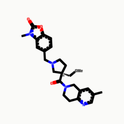 COC[C@@]1(C(=O)N2CCc3ncc(C)cc3C2)CCN(Cc2ccc3oc(=O)n(C)c3c2)C1